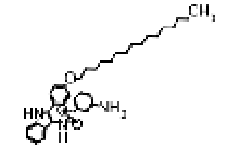 CCCCCCCCCCCCCCCCOc1ccc(-c2[nH]c3ccccc3c2NS(=O)(=O)c2cccc(N)c2)cc1